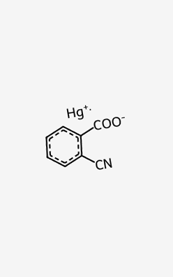 N#Cc1ccccc1C(=O)[O-].[Hg+]